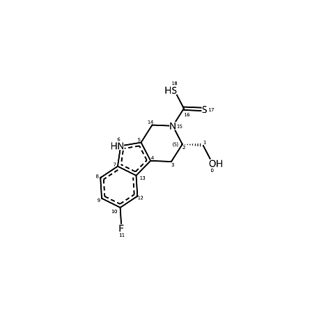 OC[C@@H]1Cc2c([nH]c3ccc(F)cc23)CN1C(=S)S